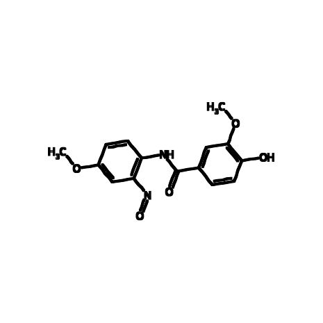 COc1ccc(NC(=O)c2ccc(O)c(OC)c2)c(N=O)c1